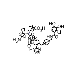 CC(C)(O/N=C(\C(=O)N[C@@H]1C(=O)N2C(c3nnn[nH]3)=C(C[N+]34CCC(CNC(=O)c5ccc(O)c(O)c5Cl)(CC3)CC4)CS[C@H]12)c1nc(N)sc1Cl)C(=O)O